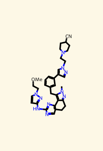 COCCn1ccc(Nc2ncc3c(n2)-c2c(nn(C)c2Cc2cccc(-c4cnn(CCN5CCC(C#N)CC5)c4)c2)CC3)n1